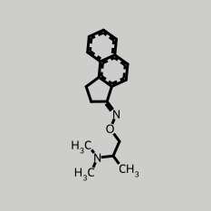 CC(CON=C1CCc2c1ccc1ccccc21)N(C)C